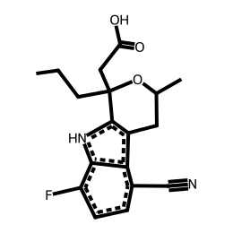 CCCC1(CC(=O)O)OC(C)Cc2c1[nH]c1c(F)ccc(C#N)c21